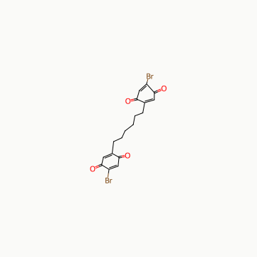 O=C1C=C(CCCCCCC2=CC(=O)C(Br)=CC2=O)C(=O)C=C1Br